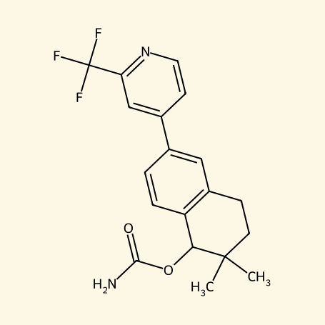 CC1(C)CCc2cc(-c3ccnc(C(F)(F)F)c3)ccc2C1OC(N)=O